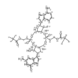 CC(C)(C)C(=O)OCSP1(=O)OC[C@H]2O[C@@H](n3cnc4c(N)ccnc43)C(F)[C@H]2OP(=O)(SCOC(=O)C(C)(C)C)OC[C@H]2C[C@@H](n3cnc4c(=O)[nH]c(N)nc43)C(O)[C@H]2O1